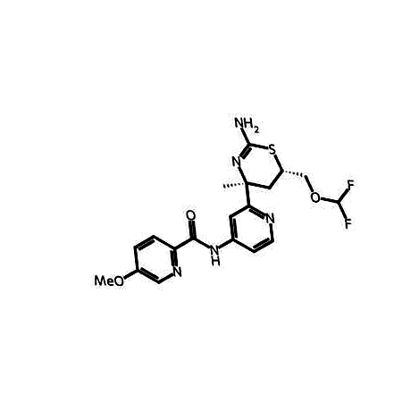 COc1ccc(C(=O)Nc2ccnc([C@]3(C)C[C@@H](COC(F)F)SC(N)=N3)c2)nc1